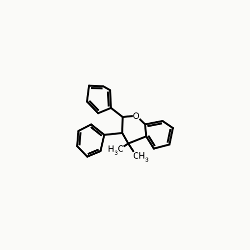 CC1(C)c2ccccc2OC(c2ccccc2)C1c1ccccc1